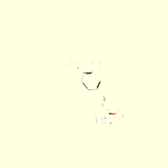 [NH]C(=O)CSc1ccc(Cl)c(Cl)c1